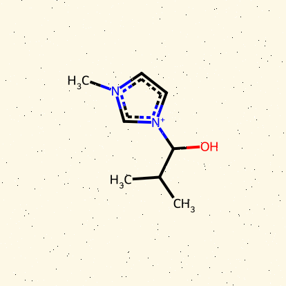 CC(C)C(O)[n+]1ccn(C)c1